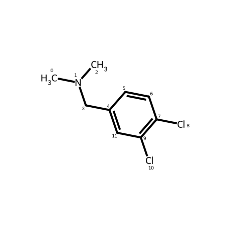 CN(C)Cc1ccc(Cl)c(Cl)c1